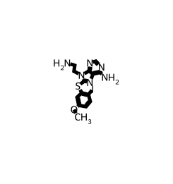 COc1ccc(I)c(Sc2nc3c(N)ncnc3n2CCN)c1